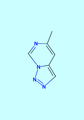 Cc1cc2cnnn2cn1